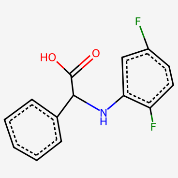 O=C(O)C(Nc1cc(F)ccc1F)c1ccccc1